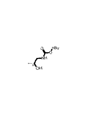 CCCCOC(=O)NC[C@@H](C)O